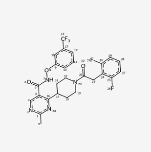 Cc1ncc(C(=O)NOc2cccc(C(F)(F)F)c2)c(C2CCN(C(=O)Cc3c(F)cccc3F)CC2)n1